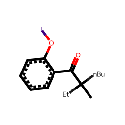 CCCCC(C)(CC)C(=O)c1ccccc1OI